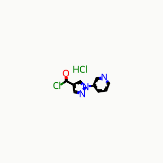 Cl.O=C(Cl)c1cnn(-c2cccnc2)c1